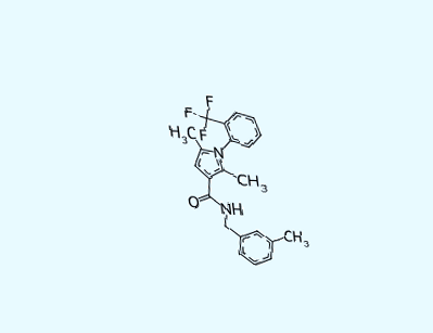 Cc1cccc(CNC(=O)c2cc(C)n(-c3ccccc3C(F)(F)F)c2C)c1